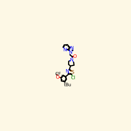 CC(C)(C)c1cc(OC(F)(F)F)cc(-c2nc(C3CCN(C(=O)Cn4cnc5cccnc54)CC3)sc2Cl)c1